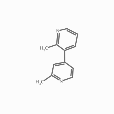 Cc1cc(-c2cccnc2C)ccn1